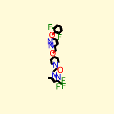 Cc1cc(C(F)(F)F)nn1CC(=O)N1CCC(OCc2ccc(Oc3c(F)cccc3F)nn2)CC1